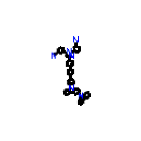 N#Cc1cccc(-c2cc(-c3ccc(-c4ccc(-c5ccc(-n6c7ccccc7c7cc(-n8c9ccccc9c9ccccc98)ccc76)cc5)cc4)cc3)nc(-c3cccc(C#N)c3)n2)c1